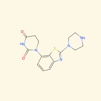 O=C1CCN(c2cccc3nc(N4CCNCC4)sc23)C(=O)N1